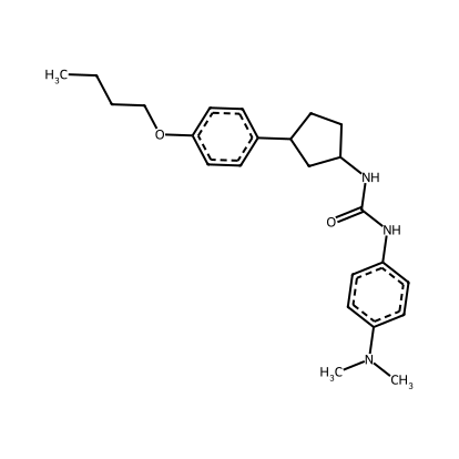 CCCCOc1ccc(C2CCC(NC(=O)Nc3ccc(N(C)C)cc3)C2)cc1